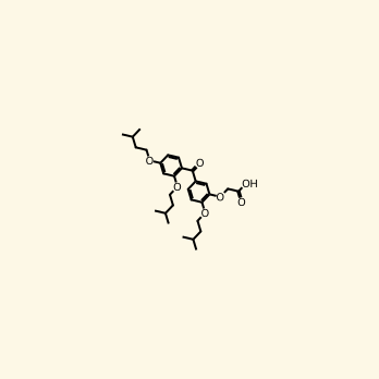 CC(C)CCOc1ccc(C(=O)c2ccc(OCCC(C)C)c(OCC(=O)O)c2)c(OCCC(C)C)c1